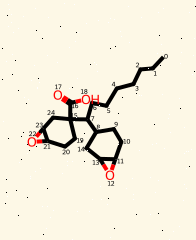 CCCCCCCC(C1CCC2OC2C1)C1(C(=O)O)CCC2OC2C1